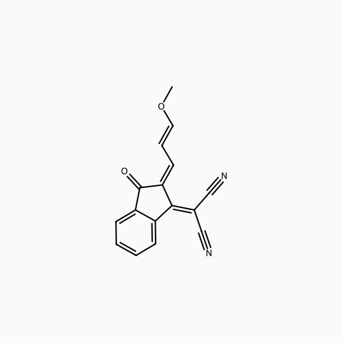 COC=CC=C1C(=O)c2ccccc2C1=C(C#N)C#N